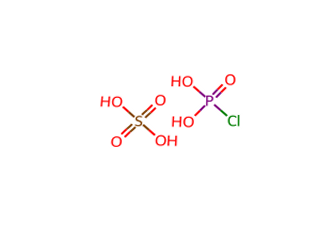 O=P(O)(O)Cl.O=S(=O)(O)O